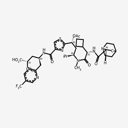 CC(=O)O[C@H](C[C@H](C(C)C)N(C)C(=O)[C@@H](NC(=O)[C@H]1CC2CCN1CC2)C1CCC1)c1nc(C(=O)N[C@@H](Cc2ncc(C(F)(F)F)cn2)C[C@H](C)C(=O)O)cs1